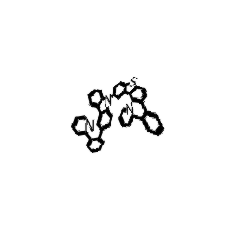 c1ccc(-c2ccccc2-c2ccc3sc4ccc(-n5c6ccccc6c6cc(-c7ccccc7-c7ccccn7)ccc65)cc4c3c2)nc1